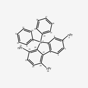 CCCc1ccc2c(c1)[Si](c1ccccc1)(c1ccccc1)c1c(CCC)ccc(CCC)c1-2